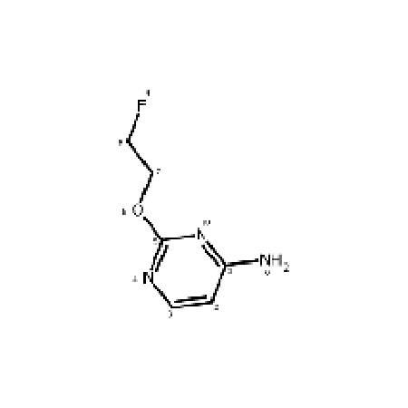 Nc1ccnc(OCCF)n1